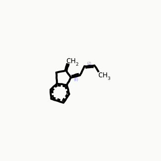 C=C1Cc2ccccc2/C1=C/C=C\C